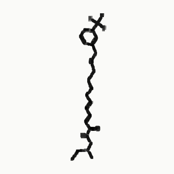 CCC(C)CNC(=O)/C=C/C=C/CCCCOCc1cccc(C(F)(F)F)c1